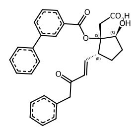 O=C(O)C[C@@]1(OC(=O)c2cccc(-c3ccccc3)c2)[C@@H](O)CC[C@@H]1C=CC(=O)Cc1ccccc1